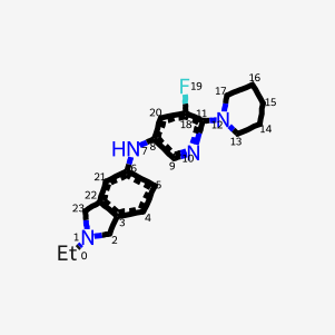 CCN1Cc2ccc(Nc3cnc(N4CCCCC4)c(F)c3)cc2C1